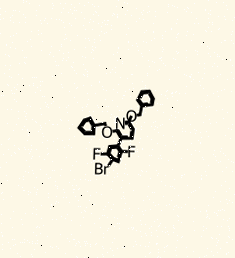 Fc1cc(-c2ccc(OCc3ccccc3)nc2OCc2ccccc2)c(F)cc1Br